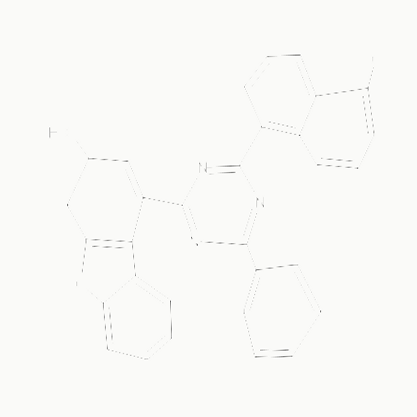 CC1C=C(c2nc(-c3ccccc3)nc(-c3cccc4c(Cl)cccc34)n2)c2c(oc3ccccc23)C1